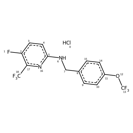 Cl.Fc1ccc(NCc2ccc(OC(F)(F)F)cc2)nc1C(F)(F)F